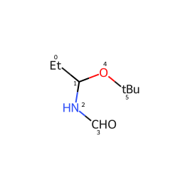 [CH2]CC(NC=O)OC(C)(C)C